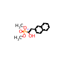 COP(=O)(OC)/C(O)=C/c1ccc2ccccc2c1